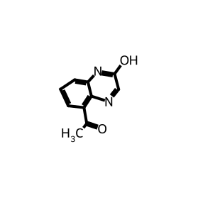 CC(=O)c1cccc2nc(O)cnc12